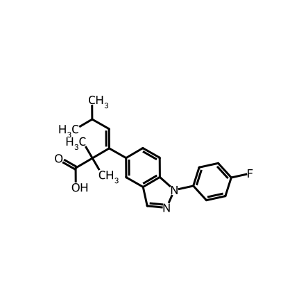 CC(C)C=C(c1ccc2c(cnn2-c2ccc(F)cc2)c1)C(C)(C)C(=O)O